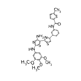 COc1cc(Nc2nc(N)c(-c3nc(-c4cccc(NC(=O)c5ccc(C)s5)c4)cs3)s2)cc(OC)c1OC